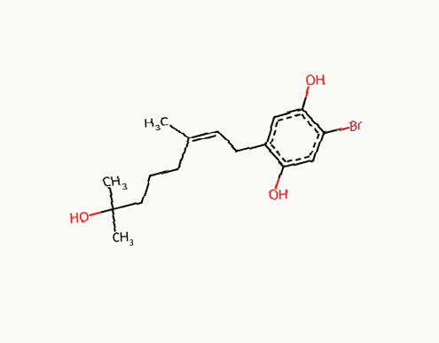 CC(=CCc1cc(O)c(Br)cc1O)CCCC(C)(C)O